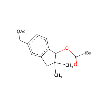 CC(=O)OCc1ccc2c(c1)CC(C)(C)C2OC(=O)C(C)(C)C